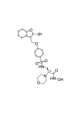 CC(C)c1oc2ccccc2c1COc1ccc(S(=O)(=O)NC[C@@H](C(=O)NO)N2CCOCC2)cc1